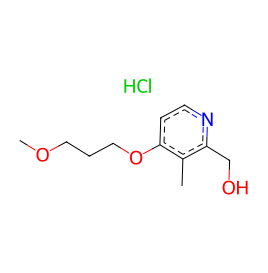 COCCCOc1ccnc(CO)c1C.Cl